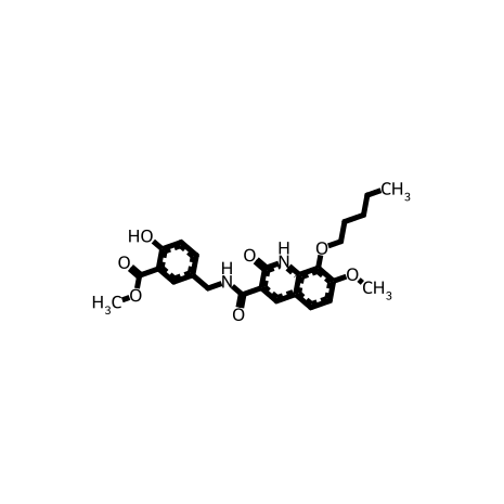 CCCCCOc1c(OC)ccc2cc(C(=O)NCc3ccc(O)c(C(=O)OC)c3)c(=O)[nH]c12